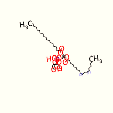 CCCCC/C=C\C/C=C\CCCCCCCC(=O)O[C@H](COC(=O)CCCCCCCCCCCCCCCCC)COP(=O)(O)OC(C=O)CO